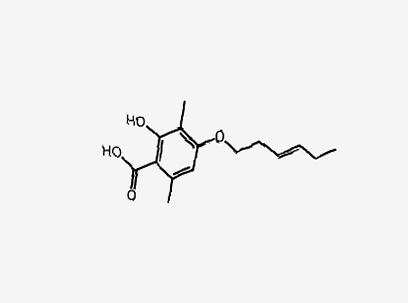 CC/C=C/CCOc1cc(C)c(C(=O)O)c(O)c1C